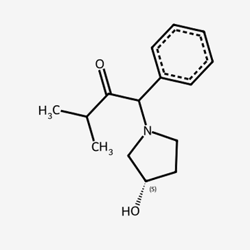 CC(C)C(=O)C(c1ccccc1)N1CC[C@H](O)C1